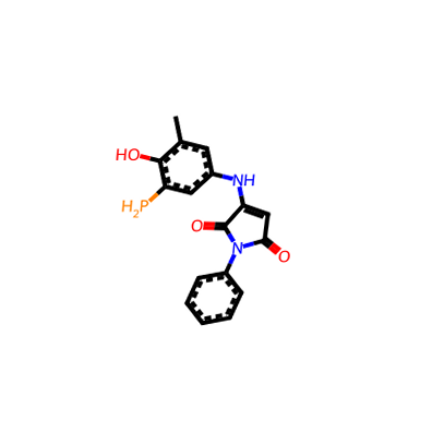 Cc1cc(NC2=CC(=O)N(c3ccccc3)C2=O)cc(P)c1O